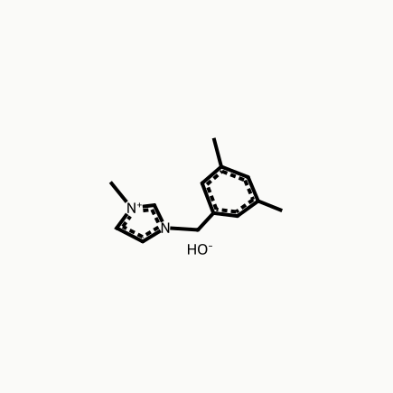 Cc1cc(C)cc(Cn2cc[n+](C)c2)c1.[OH-]